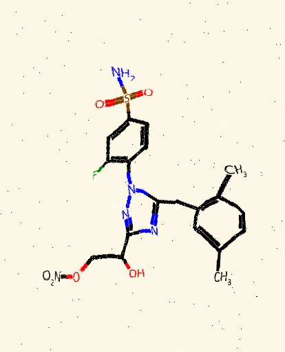 Cc1ccc(C)c(Cc2nc(C(O)CO[N+](=O)[O-])nn2-c2ccc(S(N)(=O)=O)cc2F)c1